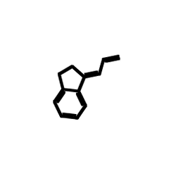 C=CC=C1CCc2ccccc21